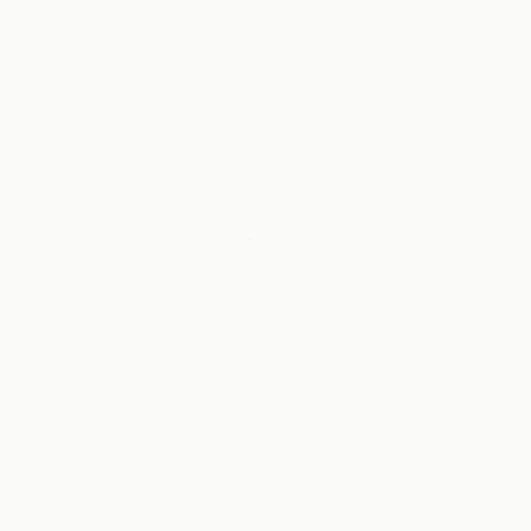 Cc1cc(F)cc(C(=O)OCc2ccccc2)c1